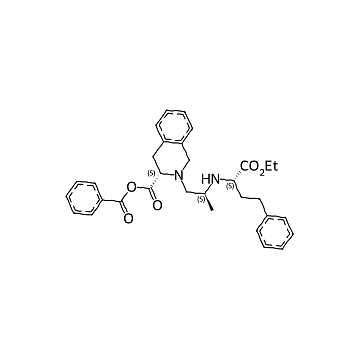 CCOC(=O)[C@H](CCc1ccccc1)N[C@@H](C)CN1Cc2ccccc2C[C@H]1C(=O)OC(=O)c1ccccc1